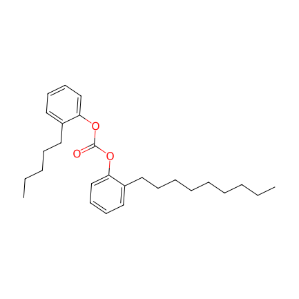 CCCCCCCCCc1ccccc1OC(=O)Oc1ccccc1CCCCC